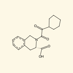 O=C(C(=O)N1Cc2ccccc2C[C@H]1C(=O)O)C1CCCCC1